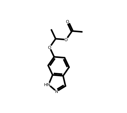 CC(=O)OC(C)Oc1ccc2cn[nH]c2c1